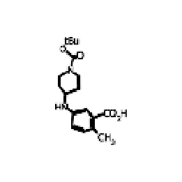 Cc1ccc(NC2CCN(C(=O)OC(C)(C)C)CC2)cc1C(=O)O